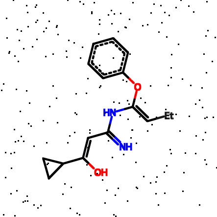 CC/C=C(/NC(=N)/C=C(\O)C1CC1)Oc1ccccc1